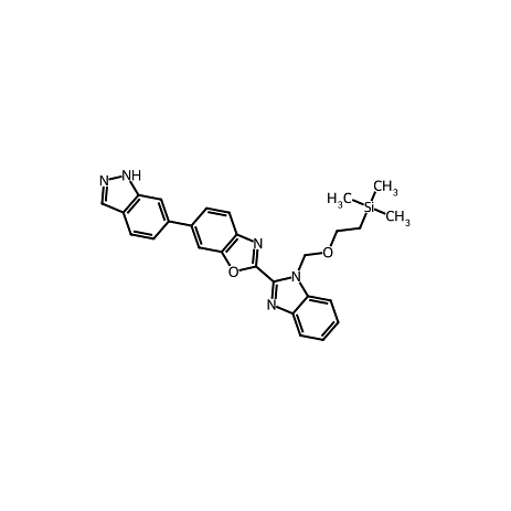 C[Si](C)(C)CCOCn1c(-c2nc3ccc(-c4ccc5cn[nH]c5c4)cc3o2)nc2ccccc21